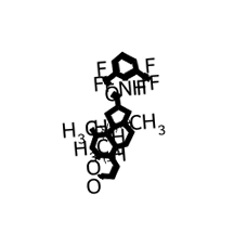 CC1CC2OC(=O)C=C[C@]2(C)[C@@H]2CC[C@]3(C)CC(C(=O)Nc4c(C(F)(F)F)cccc4C(F)(F)F)C[C@H]3[C@H]12